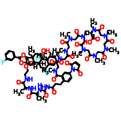 C[C@H](NC(=O)NC(=O)CCc1ccc(N2C(=O)C=CC2=O)cc1C(=O)N(C)CC(=O)N(C)CC(=O)N(C)CC(=O)N(C)CC(=O)N(C)CC(=O)N(C)CC(=O)N(C)CC(=O)N(C)CC(=O)N(C)CC(=O)N(C)CC(=O)O)C(=O)N[C@@H](C)C(=O)NCCOC(=O)[C@@]12O[C@H](c3cccc(F)c3)OC1C[C@H]1[C@@H]3C[C@H](F)C4=CC(=O)C=C[C@]4(C)[C@@]3(F)[C@@H](O)C[C@@]12C